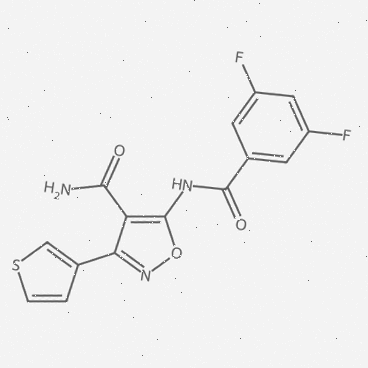 NC(=O)c1c(-c2ccsc2)noc1NC(=O)c1cc(F)cc(F)c1